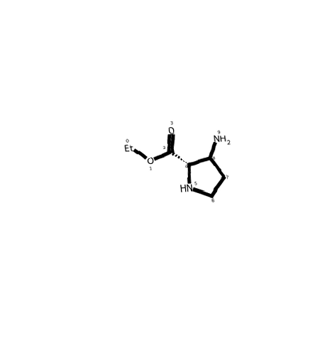 CCOC(=O)[C@H]1NCCC1N